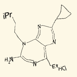 CCc1nc(N)n(CCC(C)C)c2nc(C3CC3)nc1-2.Cl